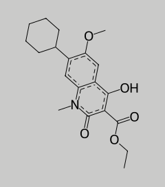 CCOC(=O)c1c(O)c2cc(OC)c(C3CCCCC3)cc2n(C)c1=O